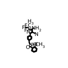 COc1ccccc1C(=O)NCc1ccc(-c2nn(C(C)C(F)(F)F)c(N)c2C#N)cc1